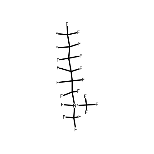 FC(F)(F)C(F)(F)C(F)(F)C(F)(F)C(F)(F)C(F)(F)[N+](F)(C(F)(F)F)C(F)(F)F